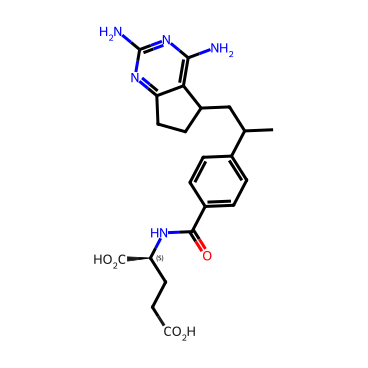 CC(CC1CCc2nc(N)nc(N)c21)c1ccc(C(=O)N[C@@H](CCC(=O)O)C(=O)O)cc1